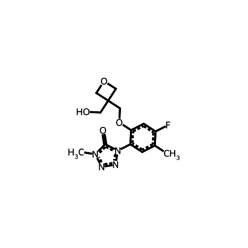 Cc1cc(-n2nnn(C)c2=O)c(OCC2(CO)COC2)cc1F